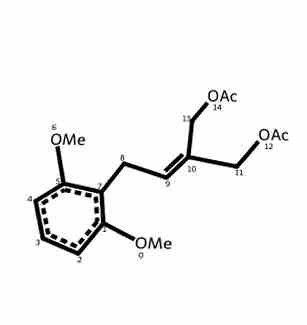 COc1cccc(OC)c1CC=C(COC(C)=O)COC(C)=O